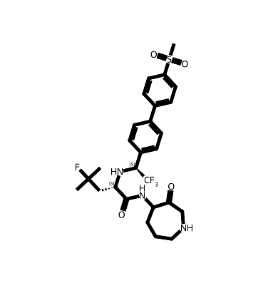 CC(C)(F)C[C@H](N[C@@H](c1ccc(-c2ccc(S(C)(=O)=O)cc2)cc1)C(F)(F)F)C(=O)NC1CCCNCC1=O